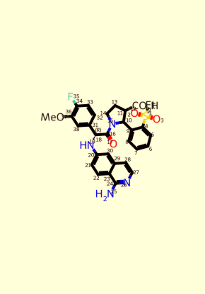 CCS(=O)(=O)c1ccccc1C1C(C(=O)O)CCN1C(=O)[C@H](Nc1ccc2c(N)nccc2c1)c1ccc(F)c(OC)c1